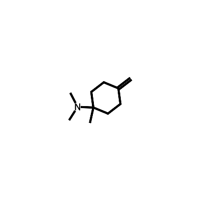 C=C1CCC(C)(N(C)C)CC1